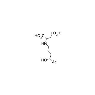 CC(=O)C(O)CCCNC(CC(=O)O)C(=O)O